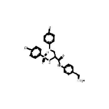 O=C(O)Cc1ccc(NC(=O)C(COc2ccc(Cl)cc2)NS(=O)(=O)c2ccc(Cl)cc2)cc1